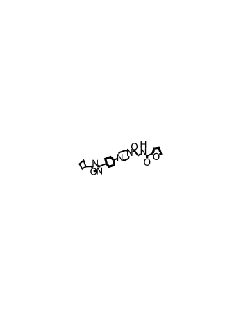 O=C(NCC(=O)N1CCN(c2ccc(-c3noc(C4CCC4)n3)cc2)CC1)c1ccco1